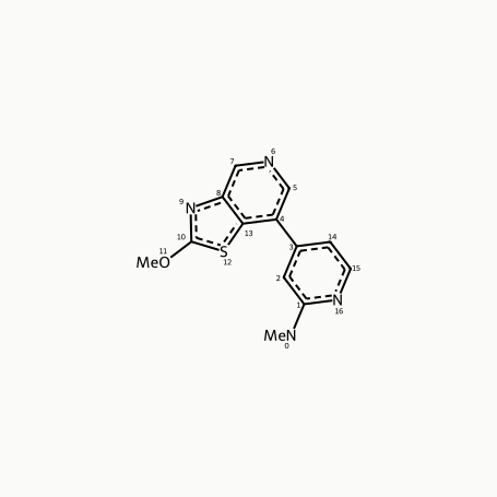 CNc1cc(-c2cncc3nc(OC)sc23)ccn1